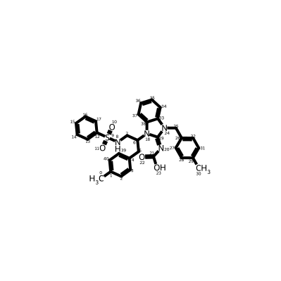 Cc1ccc(CC(CNS(=O)(=O)c2ccccc2)n2c(=NC(=O)O)n(Cc3ccc(C)cc3)c3ccccc32)cc1